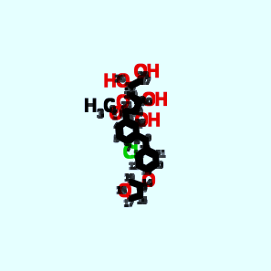 CO[C@@]1(c2ccc(Cl)c(Cc3ccc(O[C@H]4CCOC4)cc3)c2)O[C@H](C(O)CO)[C@H](O)[C@H]1O